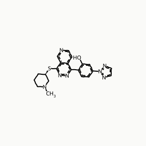 CN1CCC[C@@H](Sc2nnc(-c3ccc(-n4nccn4)cc3O)c3ccncc23)C1